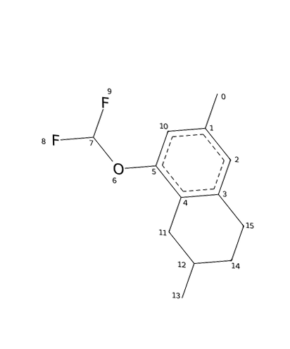 Cc1cc2c(c(OC(F)F)c1)CC(C)CC2